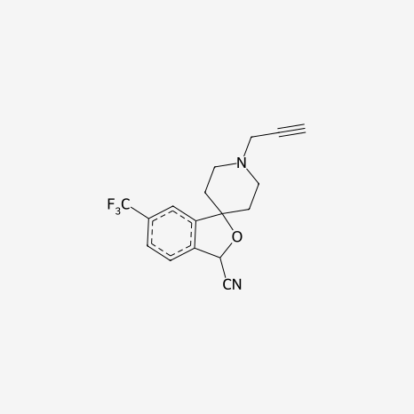 C#CCN1CCC2(CC1)OC(C#N)c1ccc(C(F)(F)F)cc12